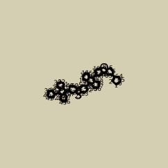 c1ccc(-c2ccc3oc4ccc(-c5c6ccccc6c(-c6ccc7sc8cc(-c9c%10ccccc%10c(-c%10ccccc%10)c%10ccccc9%10)ccc8c7c6)c6ccccc56)cc4c3c2)cc1